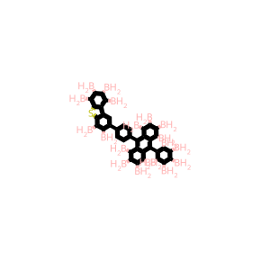 Bc1c(B)c(B)c(-c2c3c(B)c(B)c(B)c(B)c3c(-c3ccc(-c4cc5c(sc6c(B)c(B)c(B)c(B)c65)c(B)c4B)cc3)c3c(B)c(B)c(B)c(B)c23)c(B)c1B